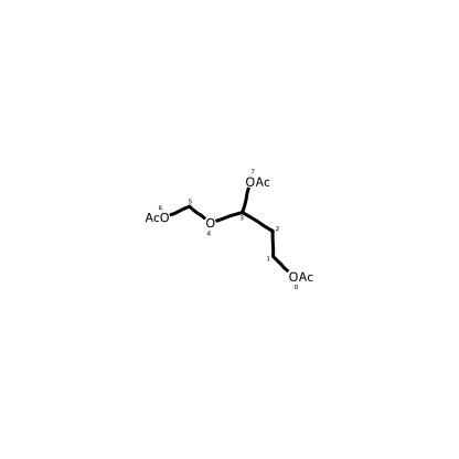 CC(=O)OCCC(OCOC(C)=O)OC(C)=O